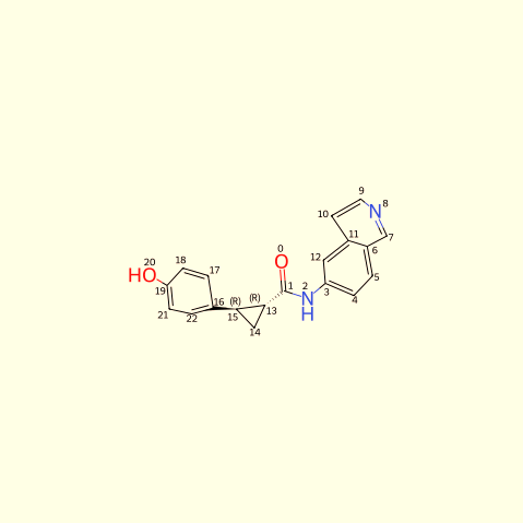 O=C(Nc1ccc2cnccc2c1)[C@@H]1C[C@H]1c1ccc(O)cc1